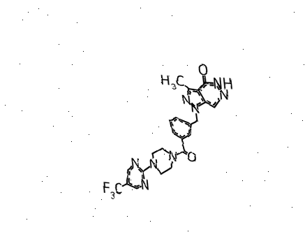 Cc1nn(Cc2cccc(C(=O)N3CCN(c4ncc(C(F)(F)F)cn4)CC3)c2)c2cn[nH]c(=O)c12